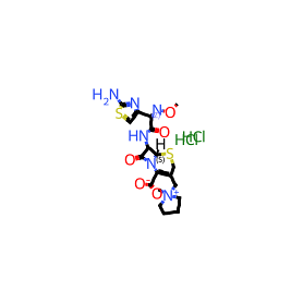 CO/N=C(\C(=O)NC1C(=O)N2C(C(=O)[O-])=C(C[N+]3(C)CCCC3)CS[C@@H]12)c1csc(N)n1.Cl.Cl